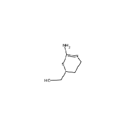 NC1=NCCC(CO)S1